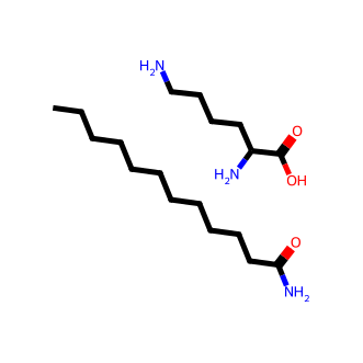 CCCCCCCCCCCC(N)=O.NCCCCC(N)C(=O)O